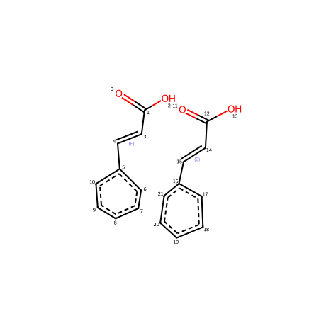 O=C(O)/C=C/c1ccccc1.O=C(O)/C=C/c1ccccc1